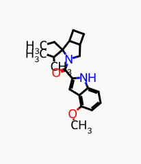 CCC1(C(C)C)C2CCC2CN1C(=O)c1cc2c(OC)cccc2[nH]1